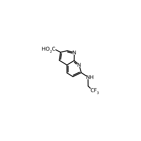 O=C(O)c1cnc2nc(NCC(F)(F)F)ccc2c1